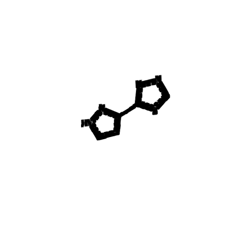 c1cc(-c2nncs2)n[nH]1